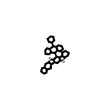 c1ccc(-c2c3ccccc3c(-c3c4sc5cc6ccccc6cc5c4cc4sc5ccccc5c34)c3ccccc23)cc1